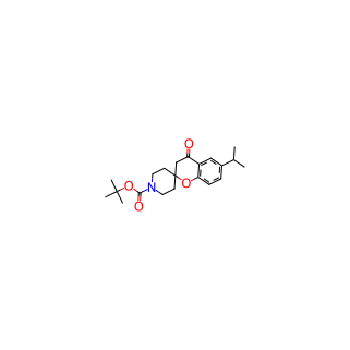 CC(C)c1ccc2c(c1)C(=O)CC1(CCN(C(=O)OC(C)(C)C)CC1)O2